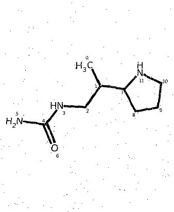 CC(CNC(N)=O)C1CCCN1